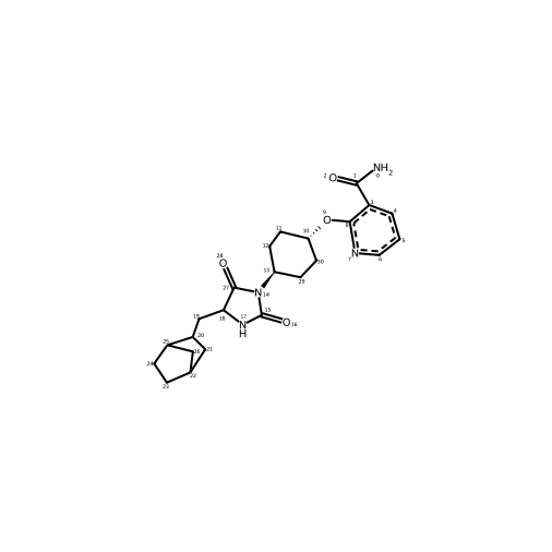 NC(=O)c1cccnc1O[C@H]1CC[C@H](N2C(=O)NC(CC3CC4CCC3C4)C2=O)CC1